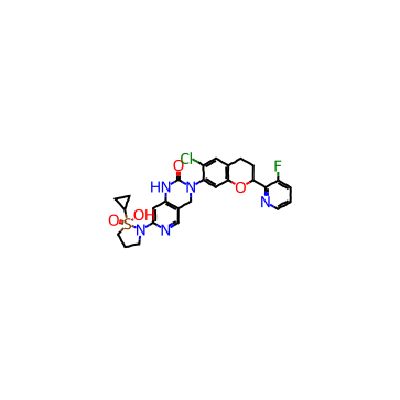 O=C1Nc2cc(N3CCCS3(=O)(O)C3CC3)ncc2CN1c1cc2c(cc1Cl)CCC(c1ncccc1F)O2